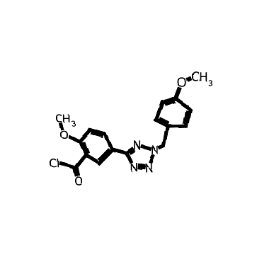 COc1ccc(Cn2nnc(-c3ccc(OC)c(C(=O)Cl)c3)n2)cc1